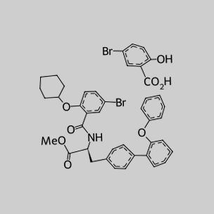 COC(=O)[C@H](Cc1ccc(-c2ccccc2Oc2ccccc2)cc1)NC(=O)c1cc(Br)ccc1OC1CCCCC1.O=C(O)c1cc(Br)ccc1O